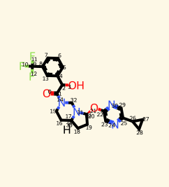 O=C(C(O)c1cccc(C(F)(F)F)c1)N1CC[C@@H]2CC[C@H](Oc3cnc(C4CC4)cn3)N2C1